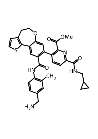 COC(=O)c1nc(C(=O)NCC2CC2)ccc1-c1cc2c(cc1C(=O)Nc1ccc(CN)cc1C)-c1sccc1CCO2